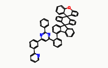 c1ccc(-c2nc(-c3cccc(-c4ccccn4)c3)cc(-c3ccccc3-c3cccc4c3-c3ccccc3C43c4ccccc4C4(c5ccccc5Oc5ccccc54)c4ccccc43)n2)cc1